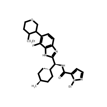 CCOC(=O)C1CCOCC1c1ccc2nc([C@@H](NC(=O)c3ccnn3CC)[C@H]3CC[C@H](C)CC3)[nH]c2c1F